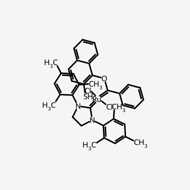 Cc1cc(C)c(N2CCN(c3c(C)cc(C)cc3C)[C]2=[Ru]([Cl])([Cl])=[C](Oc2c(S)ccc3ccccc23)c2ccccc2)c(C)c1